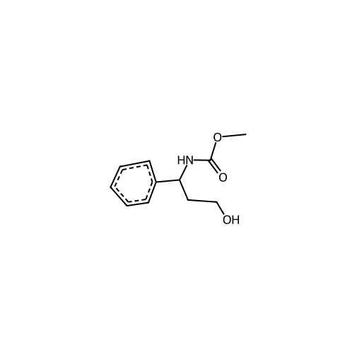 COC(=O)NC(CCO)c1ccccc1